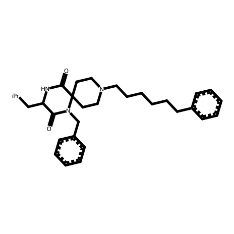 CC(C)CC1NC(=O)C2(CCN(CCCCCCc3ccccc3)CC2)N(Cc2ccccc2)C1=O